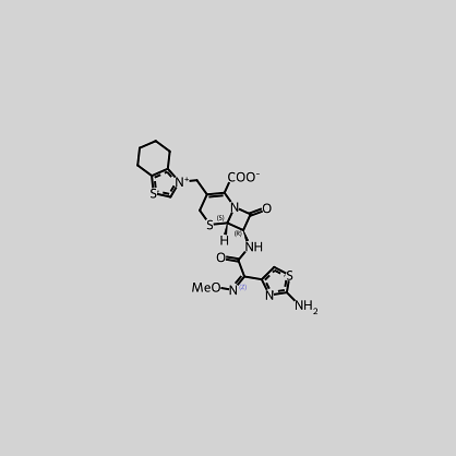 CO/N=C(\C(=O)N[C@@H]1C(=O)N2C(C(=O)[O-])=C(C[n+]3csc4c3CCCC4)CS[C@@H]12)c1csc(N)n1